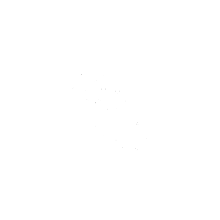 C[S+]([O-])c1c(B2OC(C)(C)C(C)(C)O2)ccc2ccccc12